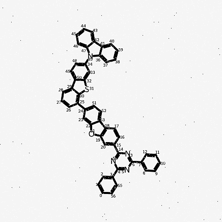 c1ccc(-c2nc(-c3ccccc3)nc(-c3ccc4c(c3)oc3cc(-c5cccc6c5sc5cc(-n7c8ccccc8c8ccccc87)ccc56)ccc34)n2)cc1